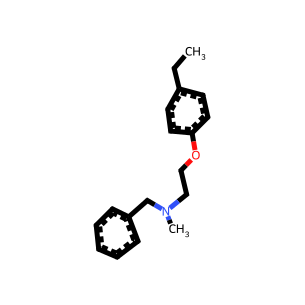 CCc1ccc(OCCN(C)Cc2ccccc2)cc1